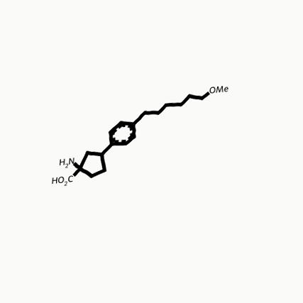 COCCCCCCc1ccc(C2CCC(N)(C(=O)O)C2)cc1